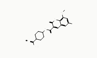 CNc1cc(F)cc2cc(C(=O)NC3CCC(C(O)=C=O)CC3)c(=O)[nH]c12